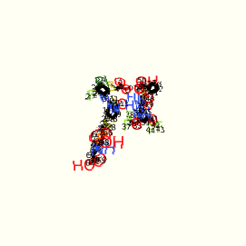 COC(=O)CSc1cc(/N=c2\sc(=O)n3n2CCCC3)c(F)cc1Cl.C[S+](C)C.O=C(Nc1nc(OC(F)F)cc(OC(F)F)n1)NS(=O)(=O)c1ccccc1C(=O)O.O=C(O)CNCP(=O)([O-])O